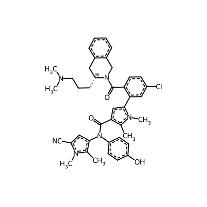 Cc1c(N(C(=O)c2cc(-c3cc(Cl)ccc3C(=O)N3Cc4ccccc4C[C@H]3CCCN(C)C)n(C)c2C)c2ccc(O)cc2)cc(C#N)n1C